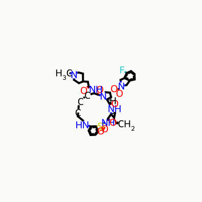 C=C[C@@H]1C[C@@]12NC(=O)[C@@H]1C[C@@H](OC(=O)N3Cc4cccc(F)c4C3)CN1C(=O)[C@@H](NC(=O)CC1CCN(C)CC1)CCCCCCCNc1ccccc1S(=O)(=O)NC2=O